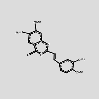 COc1ccc(C=Cc2nc3cc(OC)c(OC)cc3c(=O)o2)cc1OC